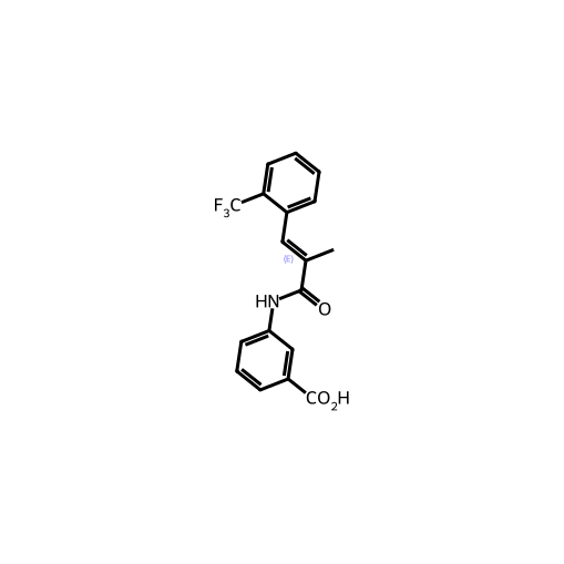 C/C(=C\c1ccccc1C(F)(F)F)C(=O)Nc1cccc(C(=O)O)c1